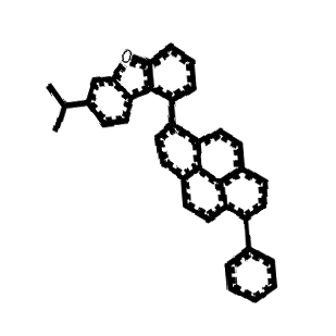 CC(C)c1ccc2c(c1)oc1cccc(-c3ccc4ccc5c(-c6ccccc6)ccc6ccc3c4c65)c12